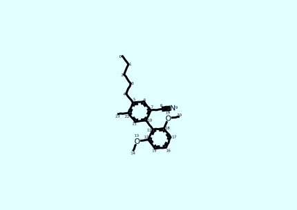 CCCCCc1cc(C#N)c(-c2c(OC)cccc2OC)cc1C